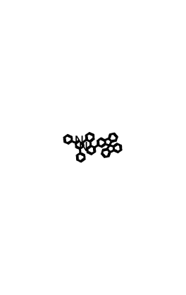 c1ccc(-c2cc(-c3ccccc3)nc(-c3ccccc3-c3ccccc3-c3ccc4c(c3)C3(c5ccccc5-c5ccccc53)c3ccccc3-4)n2)cc1